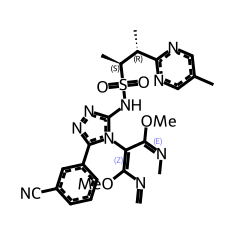 C=N/C(OC)=C(\C(=N/C)OC)n1c(NS(=O)(=O)[C@@H](C)[C@H](C)c2ncc(C)cn2)nnc1-c1cccc(C#N)c1